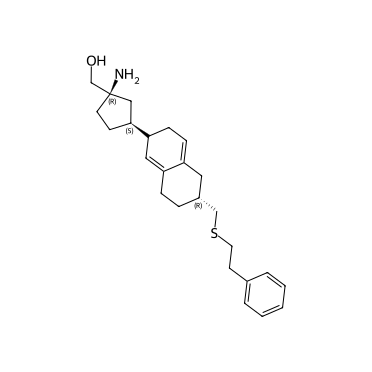 N[C@]1(CO)CC[C@H](C2C=C3CC[C@@H](CSCCc4ccccc4)CC3=CC2)C1